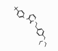 CCN(CC)Cc1ccc(CCn2cccc(Oc3ccc(C(F)(F)F)cc3)c2=O)cc1